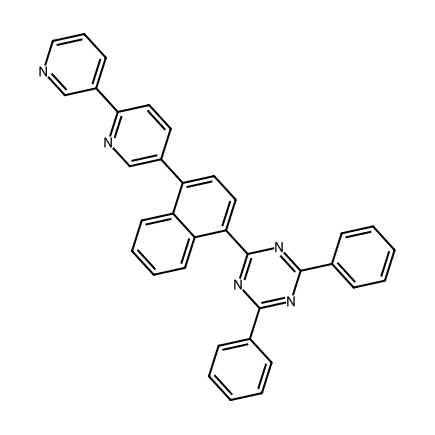 c1ccc(-c2nc(-c3ccccc3)nc(-c3ccc(-c4ccc(-c5cccnc5)nc4)c4ccccc34)n2)cc1